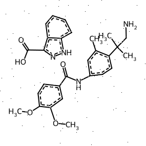 COc1ccc(C(=O)Nc2ccc(C(C)(C)CN)c(C)c2)cc1OC.O=C(O)c1n[nH]c2ccccc12